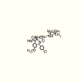 COc1ccc2c(c1)C(c1ccc(Cl)cc1)=N[C@@H](CC(=O)NCCNC(=O)C[Si](C)(C)O)C(=N)N2C(C)=N